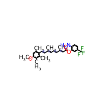 COc1cc(C)c(/C=C/C(C)=C/C=C/C(C)=C/C(=O)Oc2cc(C(F)(F)F)ccc2N)c(C)c1C